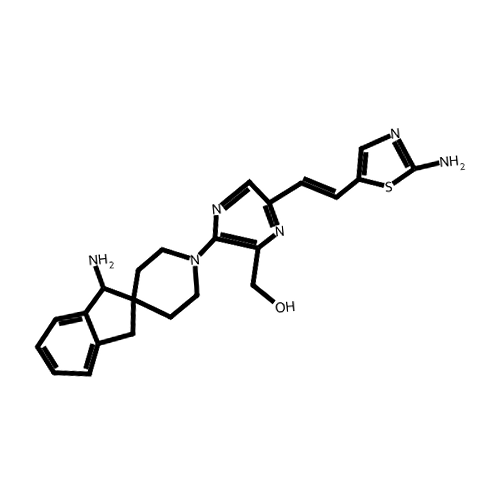 Nc1ncc(C=Cc2cnc(N3CCC4(CC3)Cc3ccccc3C4N)c(CO)n2)s1